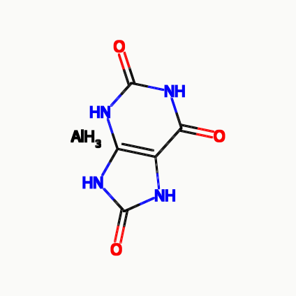 O=c1[nH]c(=O)c2[nH]c(=O)[nH]c2[nH]1.[AlH3]